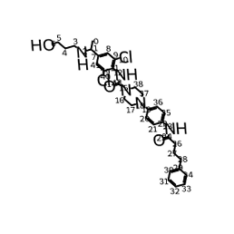 CC(NCCCO)c1cc(Cl)c(NC(=O)N2CCN(c3ccc(NC(=O)CCCc4ccccc4)cc3)CC2)c(Cl)c1